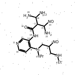 CCCN(CC(CNCC)N=O)c1ccncc1NC(=O)C(C(N)N)C(N)N=O